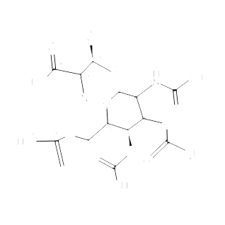 CC(=O)NC1C(OC(C)=O)[C@@H](OC(C)=O)C(COC(C)=O)O[C@@H]1O[C@H](C)C(N)C(=O)O